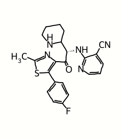 Cc1nc(C(=O)[C@@H](Nc2ncccc2C#N)C2CCCCN2)c(-c2ccc(F)cc2)s1